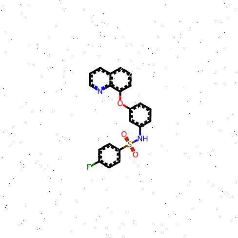 O=S(=O)(Nc1cccc(Oc2cccc3cccnc23)c1)c1ccc(F)cc1